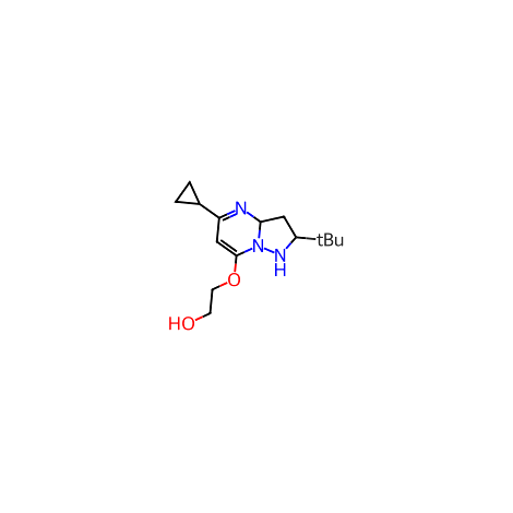 CC(C)(C)C1CC2N=C(C3CC3)C=C(OCCO)N2N1